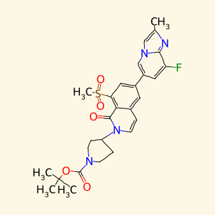 Cc1cn2cc(-c3cc(S(C)(=O)=O)c4c(=O)n(C5CCN(C(=O)OC(C)(C)C)CC5)ccc4c3)cc(F)c2n1